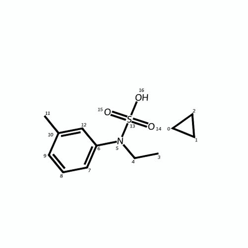 C1CC1.CCN(c1cccc(C)c1)S(=O)(=O)O